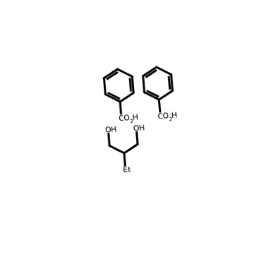 CCC(CO)CO.O=C(O)c1ccccc1.O=C(O)c1ccccc1